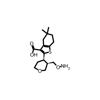 CC1(C)CCc2sc([C@@H]3CCOC[C@@H]3CON)c(C(=O)O)c2C1